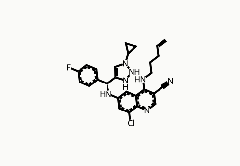 C=CCCCNc1c(C#N)cnc2c(Cl)cc(N[C@H](C3=CN(C4CC4)NN3)c3ccc(F)cc3)cc12